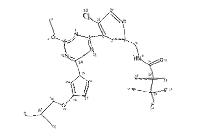 COc1nc(-c2cc(CNC(=O)C(C)(C)C(F)(F)F)ccc2Cl)nc(C2C=CC(OCC(C)C)=C2)n1